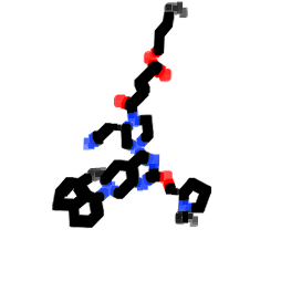 CCCCOC(=O)/C=C/C(=O)N1CCN(c2nc(OC[C@@H]3CCCN3C)nc3c2CCN(c2cccc4cccc(C)c24)C3)C[C@@H]1CC#N